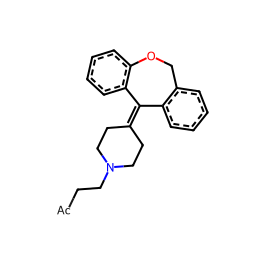 CC(=O)CCN1CCC(=C2c3ccccc3COc3ccccc32)CC1